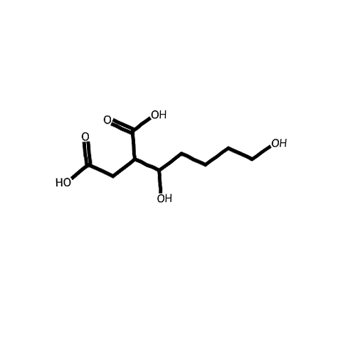 O=C(O)CC(C(=O)O)C(O)CCCCO